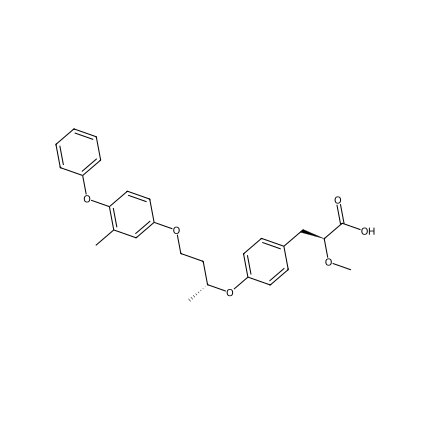 CO[C@@H](Cc1ccc(O[C@H](C)CCOc2ccc(Oc3ccccc3)c(C)c2)cc1)C(=O)O